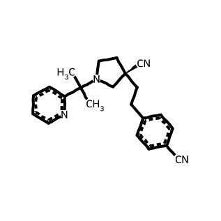 CC(C)(c1ccccn1)N1CC[C@](C#N)(CCc2ccc(C#N)cc2)C1